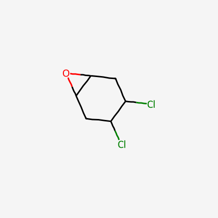 ClC1CC2OC2CC1Cl